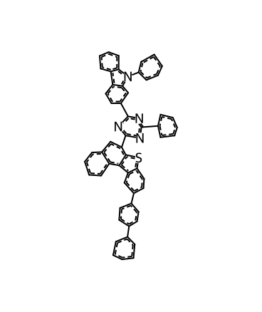 c1ccc(-c2ccc(-c3ccc4sc5c(-c6nc(-c7ccccc7)nc(-c7ccc8c9ccccc9n(-c9ccccc9)c8c7)n6)cc6ccccc6c5c4c3)cc2)cc1